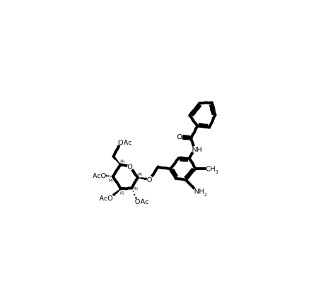 CC(=O)OC[C@H]1O[C@@H](OCc2cc(N)c(C)c(NC(=O)c3ccccc3)c2)[C@H](OC(C)=O)[C@@H](OC(C)=O)[C@@H]1OC(C)=O